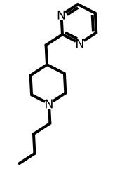 CCCCN1CCC(Cc2ncccn2)CC1